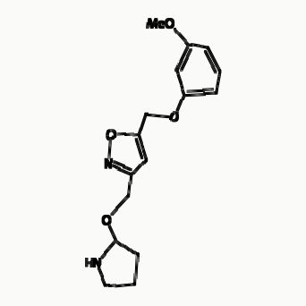 COc1cccc(OCc2cc(COC3CCCN3)no2)c1